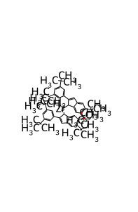 CC(C)(C)c1cc(C2=Cc3cc4c(cc3[CH]2[Zr][CH]2C(c3cc(C(C)(C)C)cc(C(C)(C)C)c3)=Cc3cc5c(cc32)C(C)(C)CCC5(C)C)C(C)(C)CCC4(C)C)cc(C(C)(C)C)c1